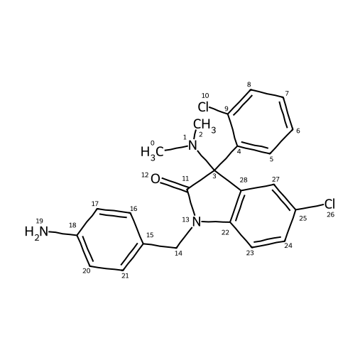 CN(C)C1(c2ccccc2Cl)C(=O)N(Cc2ccc(N)cc2)c2ccc(Cl)cc21